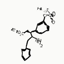 CCOC(=O)CC(c1cccc(OS(C)(=O)=O)c1)C(N)Cc1ccccc1